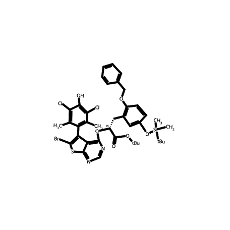 Cc1c(Cl)c(O)c(Cl)c(C)c1-c1c(Br)sc2ncnc(O[C@H](Cc3cc(O[Si](C)(C)C(C)(C)C)ccc3OCc3ccccc3)C(=O)OC(C)(C)C)c12